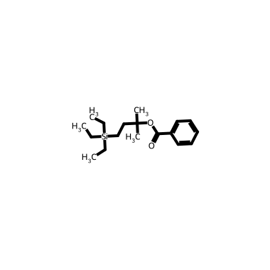 CC[Si](CC)(CC)CCC(C)(C)OC(=O)c1ccccc1